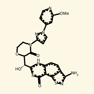 COc1cc(-n2ccc(N3CCOC([C@@H](O)c4nc(=O)c5c(ccc6c(N)nsc65)[nH]4)C3=O)n2)ccn1